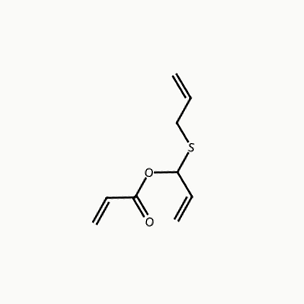 C=CCSC(C=C)OC(=O)C=C